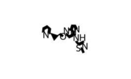 Cc1ncc(CNc2cc(OC[C@H]3C[C@@H]3c3ccccn3)nc3ccnn23)s1